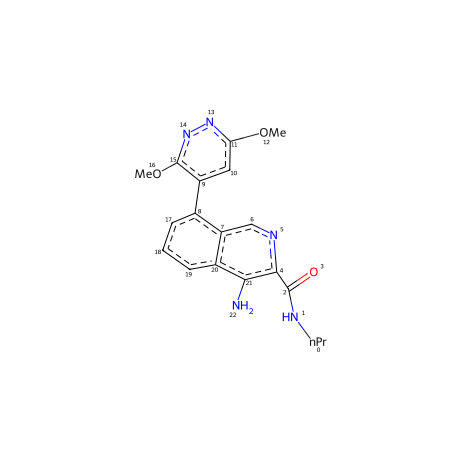 CCCNC(=O)c1ncc2c(-c3cc(OC)nnc3OC)cccc2c1N